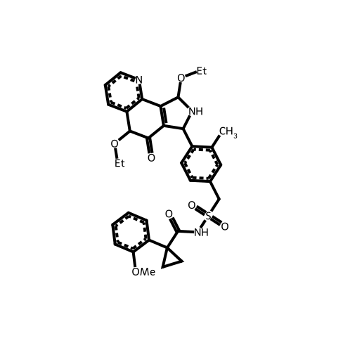 CCOC1NC(c2ccc(CS(=O)(=O)NC(=O)C3(c4ccccc4OC)CC3)cc2C)C2=C1c1ncccc1C(OCC)C2=O